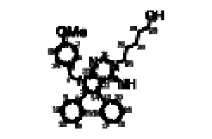 COc1ccc(Cn2c(-c3ccccc3)c(-c3ccccc3)c3c(=N)n(CCCCCO)cnc32)cc1